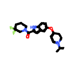 CC(C)N1CCC(Oc2ccc3[nH]c(C(=O)N4CCCC(F)(F)C4)cc3c2)CC1